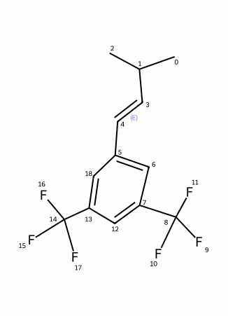 CC(C)/C=C/c1cc(C(F)(F)F)cc(C(F)(F)F)c1